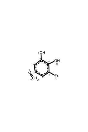 C=O.CCc1cccc(O)c1O